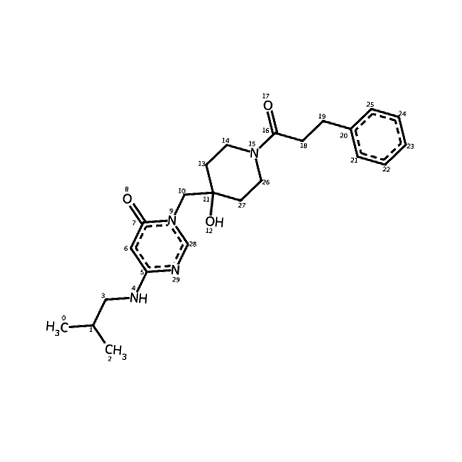 CC(C)CNc1cc(=O)n(CC2(O)CCN(C(=O)CCc3ccccc3)CC2)cn1